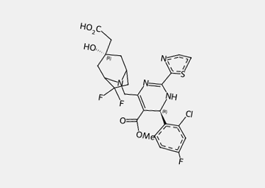 COC(=O)C1=C(CN2C3CC(F)(F)C2C[C@@](O)(CC(=O)O)C3)N=C(c2nccs2)N[C@H]1c1ccc(F)cc1Cl